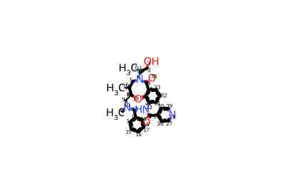 C[C@H](CO)N1C[C@H](C)[C@H](CN(C)Cc2ccccc2)Oc2c(NC(=O)c3ccncc3)cccc2C1=O